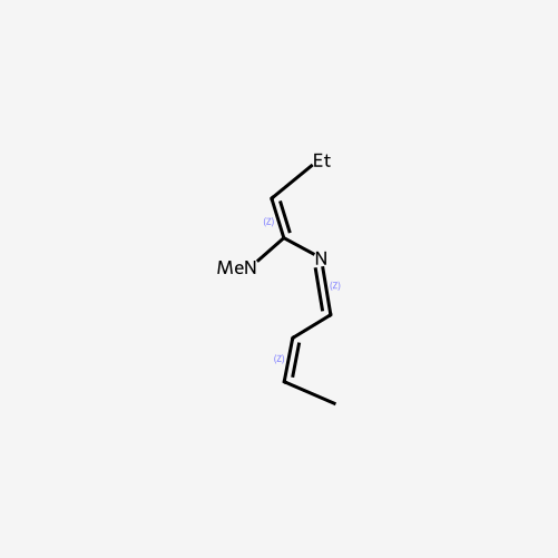 C\C=C/C=N\C(=C/CC)NC